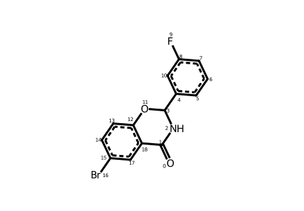 O=C1NC(c2cccc(F)c2)Oc2ccc(Br)cc21